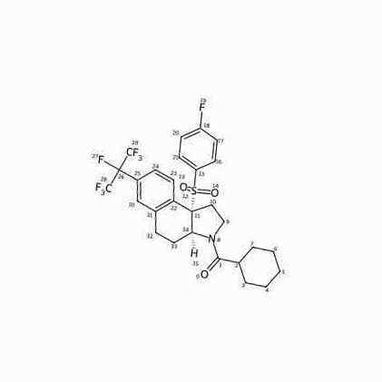 O=C(C1CCCCC1)N1CC[C@]2(S(=O)(=O)c3ccc(F)cc3)c3ccc(C(F)(C(F)(F)F)C(F)(F)F)cc3CC[C@H]12